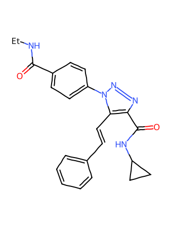 CCNC(=O)c1ccc(-n2nnc(C(=O)NC3CC3)c2C=Cc2ccccc2)cc1